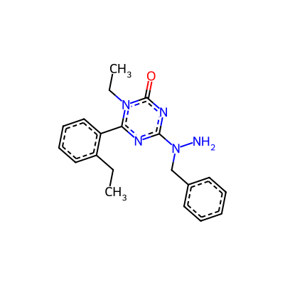 CCc1ccccc1-c1nc(N(N)Cc2ccccc2)nc(=O)n1CC